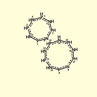 n1p[nH][pH][nH][pH][nH][pH]1.n1p[nH][pH][nH][pH][nH][pH][nH][pH]1